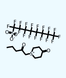 CCCC(=O)C[S+]1CCC(=O)CC1.O=S(=O)([O-])C(F)(F)C(F)(F)C(F)(F)C(F)(F)C(F)(F)C(F)(F)C(F)(F)C(F)(F)F